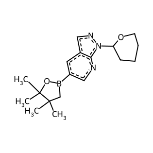 CC1(C)CB(c2cnc3c(cnn3C3CCCCO3)c2)OC1(C)C